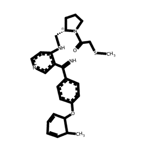 CSCC(=O)N1CCC[C@H]1CNc1ccncc1C(=N)c1ccc(OC2C=CC=CC2C)cc1